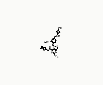 COc1cc(CNC2CC(O)C2)ccc1Cn1ncc2nc(N)nc(NCC3CC4(CC4)C3)c21